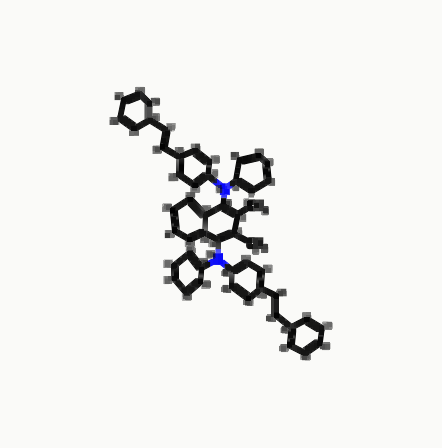 Cc1c(C)c(N(c2ccccc2)c2ccc(C=Cc3ccccc3)cc2)c2ccccc2c1N(c1ccccc1)c1ccc(C=Cc2ccccc2)cc1